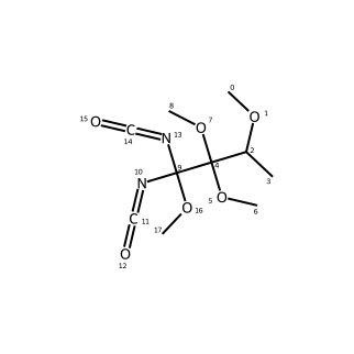 COC(C)C(OC)(OC)C(N=C=O)(N=C=O)OC